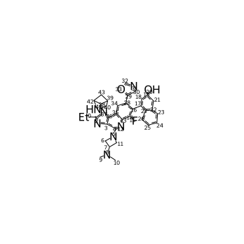 CCc1nc2c(N3CC(N(C)C)C3)nc3c(F)c(-c4cc(O)cc5ccccc45)c(-c4cnco4)cc3c2n1C1C2CNC1C2